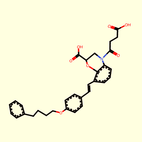 O=C(O)CCC(=O)N1CC(C(=O)O)Oc2c(C=Cc3ccc(OCCCCc4ccccc4)cc3)cccc21